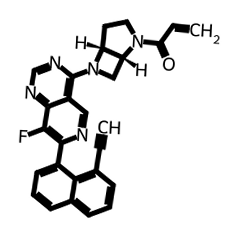 C#Cc1cccc2cccc(-c3ncc4c(N5C[C@@H]6[C@H]5CCN6C(=O)C=C)ncnc4c3F)c12